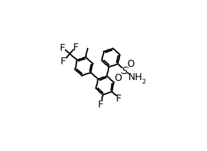 Cc1cc(-c2cc(F)c(F)cc2-c2ccccc2S(N)(=O)=O)ccc1C(F)(F)F